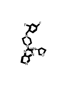 Fc1ccc(CN2CCN(c3nc4ccncc4nc3N[C@H]3CCOC3)CC2)c(F)c1